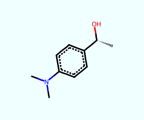 C[C@@H](O)c1ccc(N(C)C)cc1